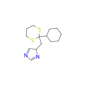 C1=NC=NC1CC1(C2CCCCC2)SCCCS1